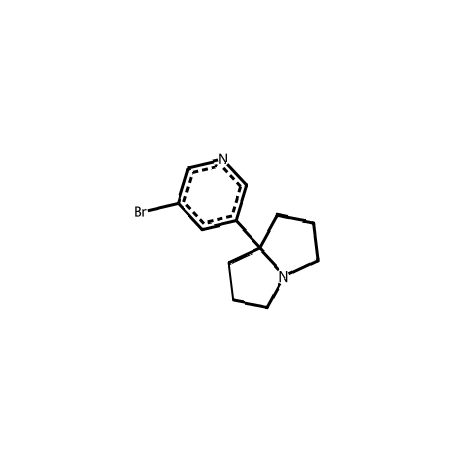 Brc1cncc(C23CCCN2CCC3)c1